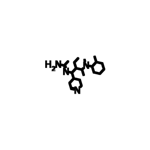 CCC(C(/N=C(\C)N)C1CC=NCC1)C(C)N(C)C1CCCCC1C